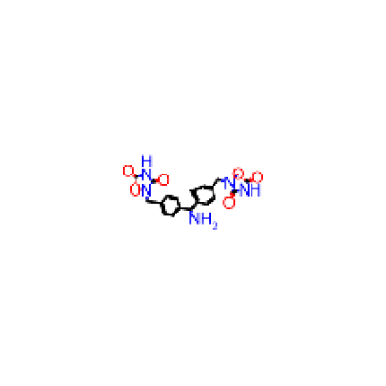 NC(c1ccc(Cn2oc(=O)[nH]c2=O)cc1)c1ccc(Cn2oc(=O)[nH]c2=O)cc1